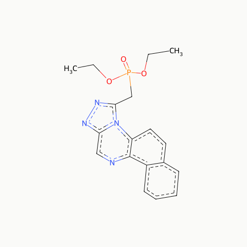 CCOP(=O)(Cc1nnc2cnc3c4ccccc4ccc3n12)OCC